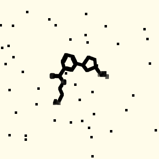 CC(=O)CCOC(=O)c1cccc(C2CCC(N)C2)c1